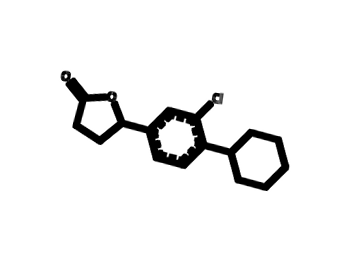 O=C1CCC(c2ccc(C3CCCCC3)c(Cl)c2)O1